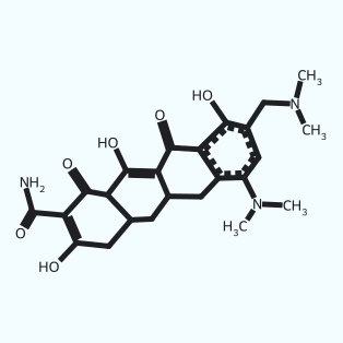 CN(C)Cc1cc(N(C)C)c2c(c1O)C(=O)C1=C(O)C3C(=O)C(C(N)=O)=C(O)CC3CC1C2